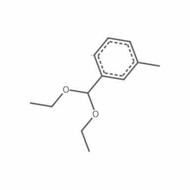 CCOC(OCC)c1[c]ccc(C)c1